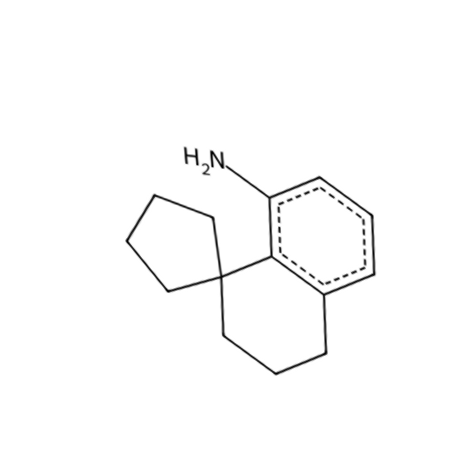 Nc1cccc2c1C1(CCCC1)CCC2